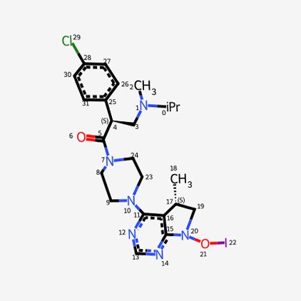 CC(C)N(C)C[C@@H](C(=O)N1CCN(c2ncnc3c2[C@H](C)CN3OI)CC1)c1ccc(Cl)cc1